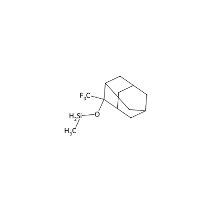 C[SiH2]OC1(C(F)(F)F)C2CC3CC(C2)CC1C3